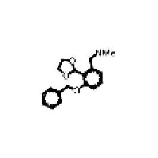 CNCc1cccc(OCc2ccccc2)c1C1OCCO1